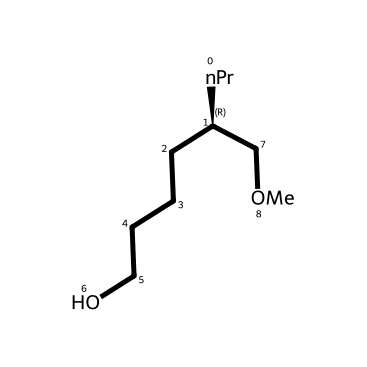 CCC[C@H](CCCCO)COC